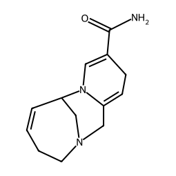 NC(=O)C1=CN2C(=CC1)CN1CCC=CC2C1